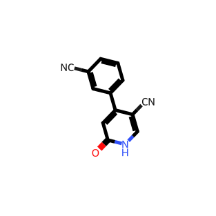 N#Cc1cccc(-c2cc(=O)[nH]cc2C#N)c1